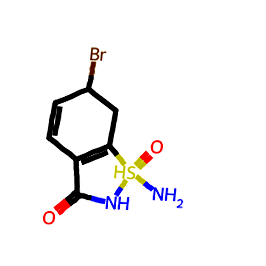 N[SH]1(=O)NC(=O)C2=C1CC(Br)C=C2